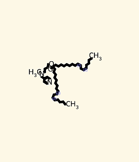 CCCCC/C=C\C/C=C\CCCCCCCCC1(CCCCCCCC/C=C\C/C=C\CCCCC)OCC(CCN(C)Cc2ccncc2)O1